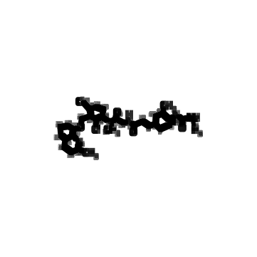 CNC(=O)Nc1ccc(C=CC(=O)NCC(=O)N(C)c2ccc(Cl)c(COc3cccc4ccc(C)nc34)c2Cl)cc1C